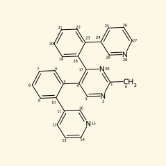 Cc1ncc(-c2ccccc2-c2cccnc2)c(-c2ccccc2-c2cccnc2)n1